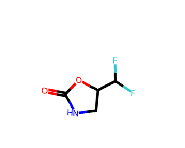 O=C1NCC(C(F)F)O1